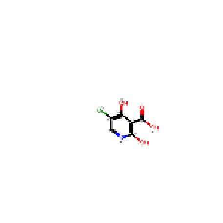 O=C(O)c1c(O)ncc(Cl)c1O